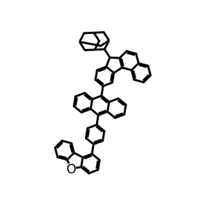 c1ccc2c3c(ccc2c1)C(C1C2CC4CC(C2)CC1C4)c1ccc(-c2c4ccccc4c(-c4ccc(-c5cccc6oc7ccccc7c56)cc4)c4ccccc24)cc1-3